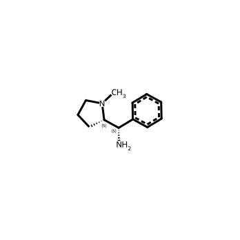 CN1CCC[C@H]1[C@@H](N)c1ccccc1